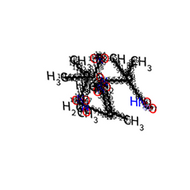 C=C(C)C(=O)N(CCCCCCCCC1CCC(CCCCCC)C(CCCCCCCC)C1CCCCCCCCN(C(=O)C(=C)C)C1CC(=O)N(CCCCCCCCC2C(CCCCCCCCNC(=O)/C=C\C=O)CCC(CCCCCC)C2CCCCCCCC)C1=O)C1CC(=O)N(CCCCCCCCC2C(CCCCCCCCN3C(=O)C=CC3=O)CCC(CCCCCC)C2CCCCCCCC)C1=O